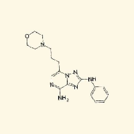 Nc1ncc(CCCN2CCOCC2)n2nc(Nc3ccccc3)nc12